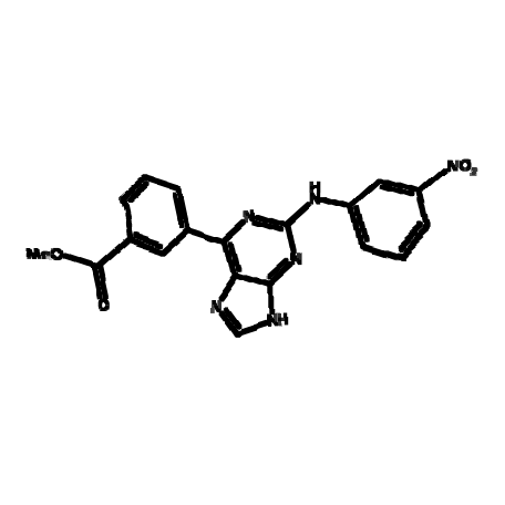 COC(=O)c1cccc(-c2nc(Nc3cccc([N+](=O)[O-])c3)nc3[nH]cnc23)c1